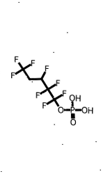 O=P(O)(O)OC(F)(F)C(F)(F)C(F)CC(F)(F)F